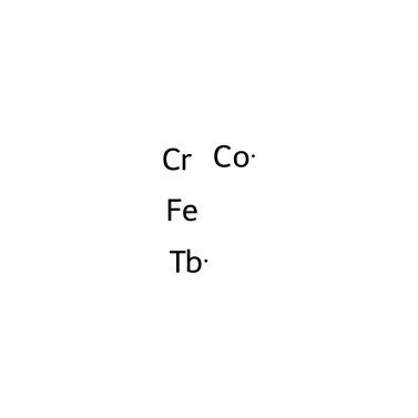 [Co].[Cr].[Fe].[Tb]